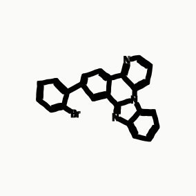 Brc1ccccc1-c1ccc2c(c1)c1nc3ccccc3n1c1cccnc21